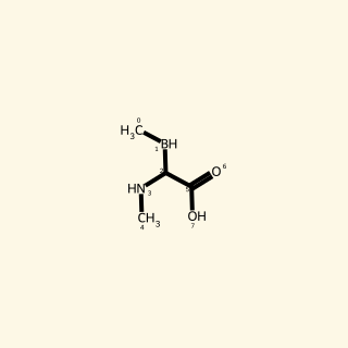 CBC(NC)C(=O)O